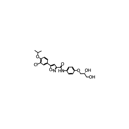 CC(C)Oc1ccc(-c2cc(C(=O)Nc3ccc(OC[C@H](O)CO)cc3)no2)cc1Cl